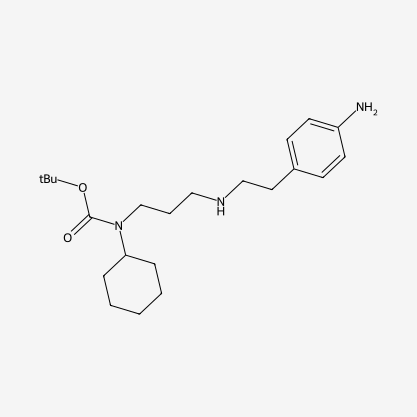 CC(C)(C)OC(=O)N(CCCNCCc1ccc(N)cc1)C1CCCCC1